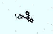 NCC(N)CCNC[C@H](Cc1ccccc1)NCCc1ccccc1